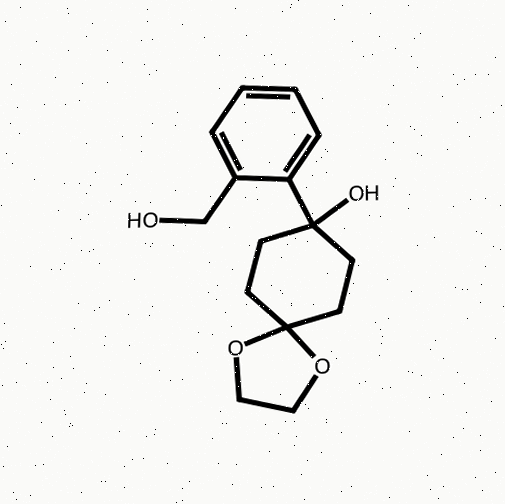 OCc1ccccc1C1(O)CCC2(CC1)OCCO2